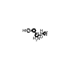 Cn1cc(NC(=O)c2nc(-c3cccc(N4CCNCC4)c3)ccc2N)cn1